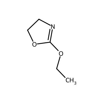 CCOC1=NCCO1